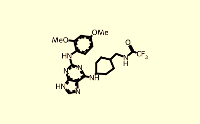 COc1ccc(Nc2nc(NC3CCC(CNC(=O)C(F)(F)F)CC3)c3nc[nH]c3n2)c(OC)c1